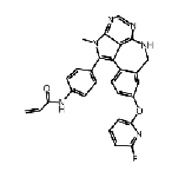 C=CC(=O)Nc1ccc(-c2c3c4c(ncnc4n2C)NCc2cc(Oc4cccc(F)n4)ccc2-3)cc1